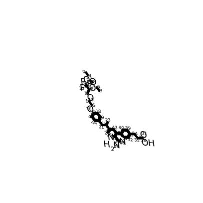 CCOP(=O)(OCC)C(F)(F)CCOCCOc1ccc(CC(C)c2cnc3c(N)nc4cc(CCC(=O)O)ccc4c3c2)cc1